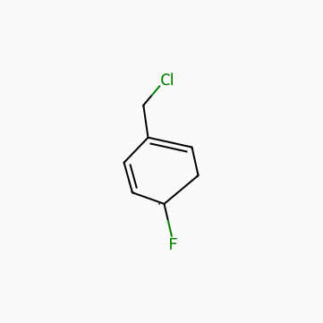 F[C]1C=CC(CCl)=CC1